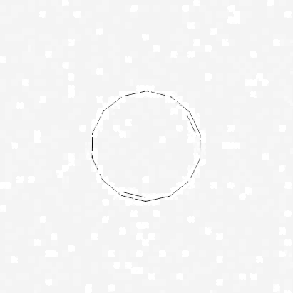 [CH]1CC=CCCCCCCCC=CC1